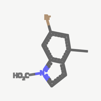 Cc1cc(Br)cc2c1ccn2C(=O)O